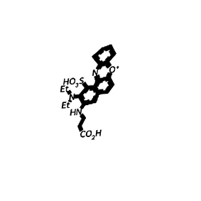 CCN(CC)c1c(NCCC(=O)O)cc2ccc3[o+]c4ccccc4nc3c2c1S(=O)(=O)O